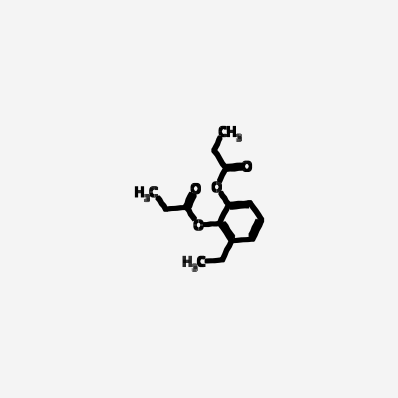 CCC(=O)Oc1cccc(CC)c1OC(=O)CC